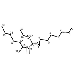 CCCCCCCN=C(NC(C)CCCCC)SCC